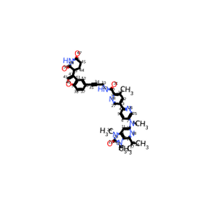 Cc1cc(-c2ccc(N(C)c3cc4c(c(C(C)C)n3)n(C)c(=O)n4C)cn2)cnc1C(=O)NCC#Cc1ccc2occ(C3CCC(=O)NC3=O)c2c1